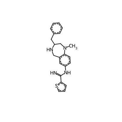 CN1CC(Cc2ccccc2)NCc2cc(NC(=N)c3cccs3)ccc21